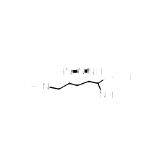 N=[N+]=N.NCCCCC(N)C(=O)O